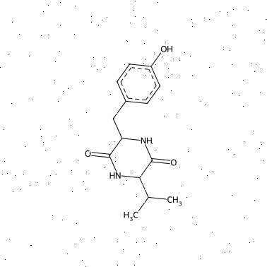 CC(C)C1NC(=O)C(Cc2ccc(O)cc2)NC1=O